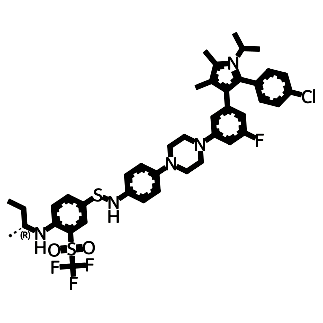 CC[C@@H](C)Nc1ccc(SNc2ccc(N3CCN(c4cc(F)cc(-c5c(C)c(C)n(C(C)C)c5-c5ccc(Cl)cc5)c4)CC3)cc2)cc1S(=O)(=O)C(F)(F)F